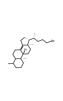 CC(C)CCC[C@@H](C)[C@H]1CCC2=C3CCC4C(C)CCC[C@]4(C)[C@H]3CC[C@@]21C